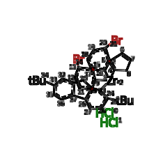 Cl.Cl.[CH2]=[Zr]([C]1=CC=CC1)([c]1cccc(Br)c1)([c]1cccc(Br)c1)[c]1c(C(C)(C)C)ccc2c1Cc1cc(C(C)(C)C)ccc1-2